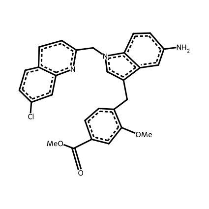 COC(=O)c1ccc(Cc2cn(Cc3ccc4ccc(Cl)cc4n3)c3ccc(N)cc23)c(OC)c1